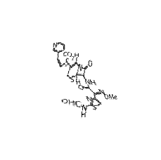 CON=C(C(=O)NC1C(=O)N2C(C(=O)O)=C(S/C=C\c3cccnc3)CS[C@@H]12)c1csc(NC=O)n1